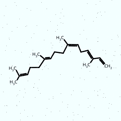 C=C/C(C)=C/CC=C(C)CC/C=C(\C)CCC=C(C)C